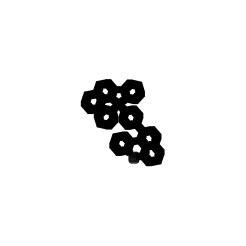 c1ccc(C2(c3ccc(-c4ccc5cccc6c5c4-c4ccccc4O6)cc3)c3ccccc3-c3ccc4ccccc4c32)cc1